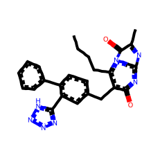 CCCCc1c(Cc2ccc(-c3ccccc3)c(-c3nnn[nH]3)c2)c(=O)nc2n1C(=O)C(C)=N2